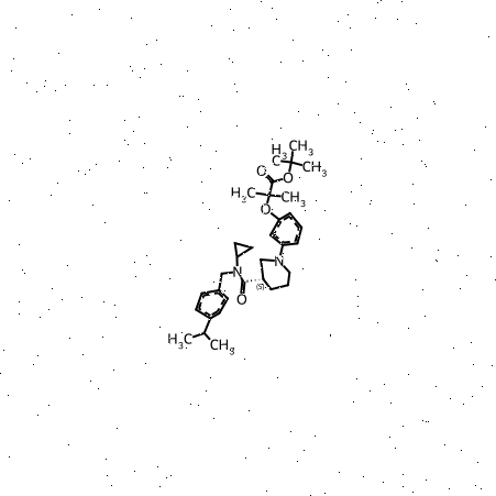 CC(C)c1ccc(CN(C(=O)[C@H]2CCCN(c3cccc(OC(C)(C)C(=O)OC(C)(C)C)c3)C2)C2CC2)cc1